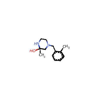 Cc1ccccc1CN1CCN[C@@](C)(O)C1